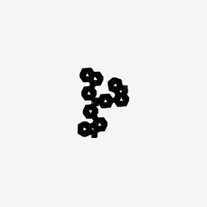 c1cc(-c2cccc3ccccc23)cc(N(c2ccc(-c3cccc4sc5ccccc5c34)cc2)c2cccc(-c3cccc4sc5ccccc5c34)c2)c1